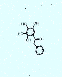 O=C(Cc1ccccc1)c1cc(O)c(O)c(O)c1O